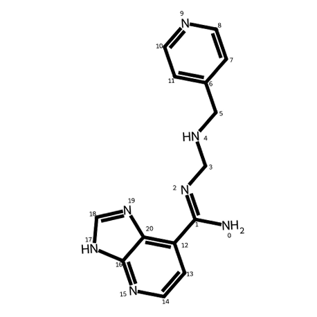 NC(=NCNCc1ccncc1)c1ccnc2[nH]cnc12